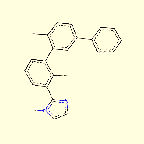 Cc1ccc(-c2ccccc2)cc1-c1cccc(-c2nccn2C)c1C